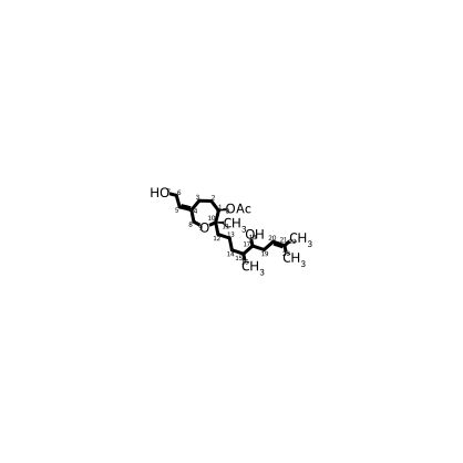 CC(=O)O[C@@H]1CCC(=CCO)CO[C@@]1(C)CCCC(C)C(O)CC=C(C)C